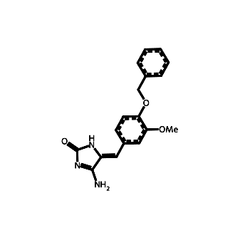 COc1cc(/C=C2\NC(=O)N=C2N)ccc1OCc1ccccc1